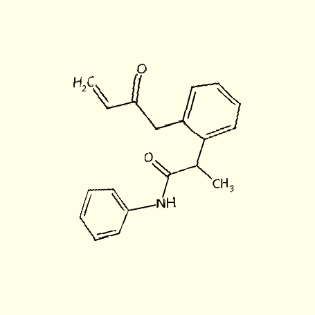 C=CC(=O)Cc1ccccc1C(C)C(=O)Nc1ccccc1